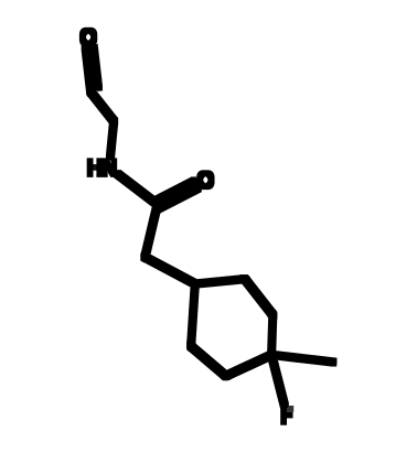 CC1(F)CCC(CC(=O)NCC=O)CC1